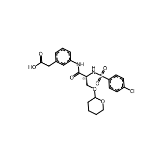 O=C(O)Cc1cccc(NC(=O)[C@H](COC2CCCCO2)NS(=O)(=O)c2ccc(Cl)cc2)c1